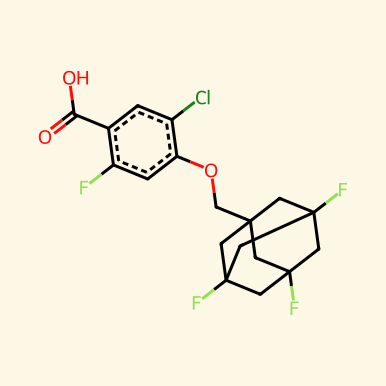 O=C(O)c1cc(Cl)c(OCC23CC4(F)CC(F)(CC(F)(C4)C2)C3)cc1F